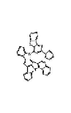 c1ccc(-c2nc(-n3c4ccccc4c4cc5c6ccccc6n6c7c8ccccc8ccc7c(c43)c56)c3sc4ccccc4c3n2)cc1